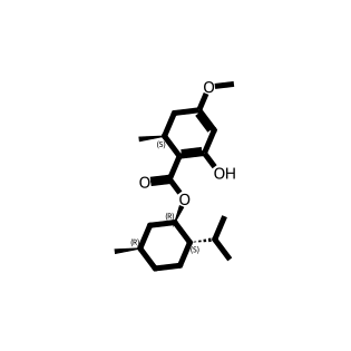 COC1=CC(O)=C(C(=O)O[C@@H]2C[C@H](C)CC[C@H]2C(C)C)[C@@H](C)C1